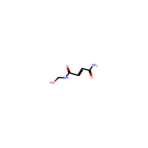 NC(=O)C=CC(=O)NCO